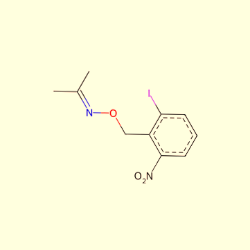 CC(C)=NOCc1c(I)cccc1[N+](=O)[O-]